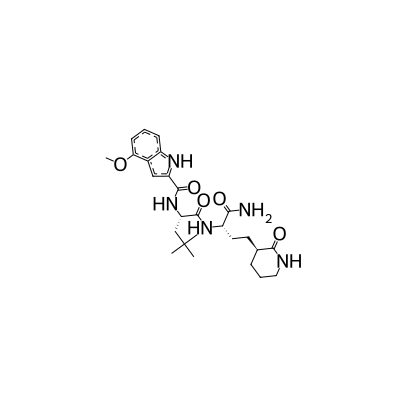 COc1cccc2[nH]c(C(=O)N[C@@H](CC(C)(C)C)C(=O)N[C@@H](CC[C@@H]3CCCNC3=O)C(N)=O)cc12